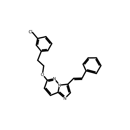 Clc1cccc(CCOc2ccc3ncc(/C=C/c4ccccc4)n3n2)c1